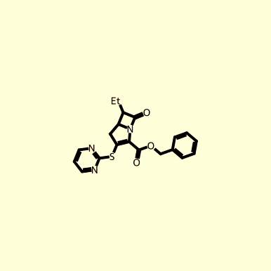 CCC1C(=O)N2C(C(=O)OCc3ccccc3)=C(Sc3ncccn3)CC12